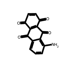 Nc1cccc2c(=O)c3c(=O)ccc(=O)c=3c(=O)c12